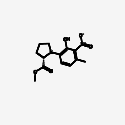 COC(=O)[C@@H]1CCCN1c1ccc(C)c([N+](=O)[O-])c1O